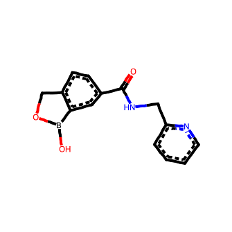 O=C(NCc1ccccn1)c1ccc2c(c1)B(O)OC2